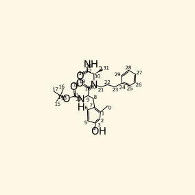 Cc1cc(O)ccc1CC(NC(=O)OC(C)(C)C)C(=O)N(CCCc1ccccc1)[C@H](C)C(N)=O